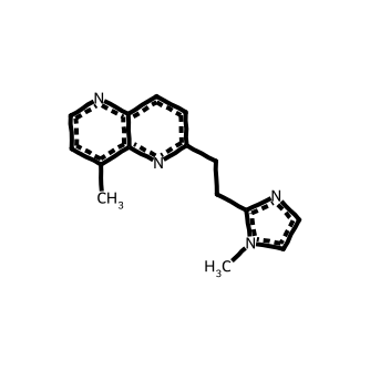 Cc1ccnc2ccc(CCc3nccn3C)nc12